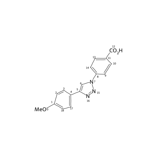 COc1ccc(-c2cn(-c3ccc(C(=O)O)cc3)nn2)cc1